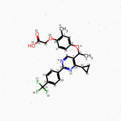 Cc1cc(OC(C)c2cnc(-c3ccc(C(F)(F)F)cc3)nc2C2CC2)ccc1OCC(=O)O